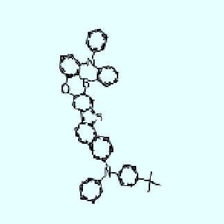 CC(C)(C)c1ccc(N(c2ccccc2)c2ccc3c(ccc4c5cc6c(cc5sc34)B3c4ccccc4N(c4ccccc4)c4cccc(c43)O6)c2)cc1